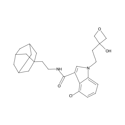 O=C(NCCC12CC3CC(CC(C3)C1)C2)c1cn(CCC2(O)COC2)c2cccc(Cl)c12